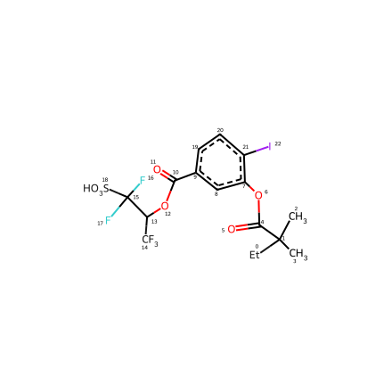 CCC(C)(C)C(=O)Oc1cc(C(=O)OC(C(F)(F)F)C(F)(F)S(=O)(=O)O)ccc1I